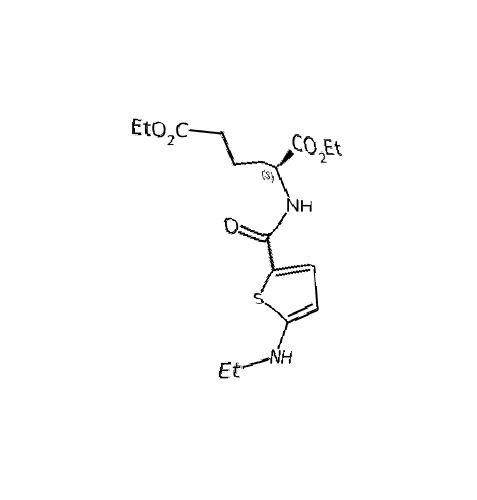 CCNc1ccc(C(=O)N[C@@H](CCC(=O)OCC)C(=O)OCC)s1